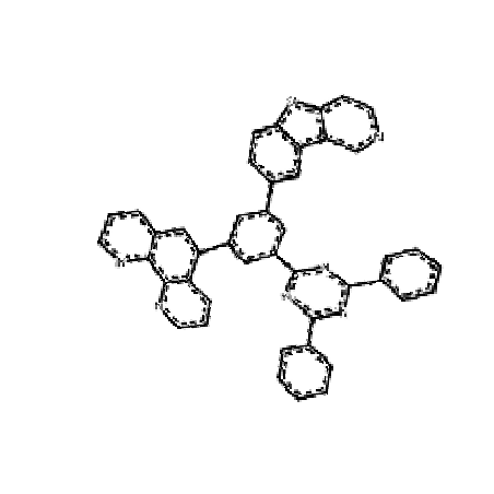 c1ccc(-c2nc(-c3ccccc3)nc(-c3cc(-c4ccc5oc6ccncc6c5c4)cc(-c4cc5cccnc5c5ncccc45)c3)n2)cc1